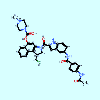 CC(=O)Nc1ccc(C(=O)Nc2ccc3[nH]c(C(=O)N4C[C@@H](CCl)c5c4cc(OC(=O)N4CCN(C)CC4)c4ccccc54)cc3c2)cc1